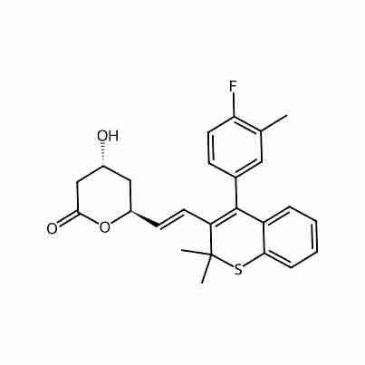 Cc1cc(C2=C(/C=C/[C@@H]3C[C@@H](O)CC(=O)O3)C(C)(C)Sc3ccccc32)ccc1F